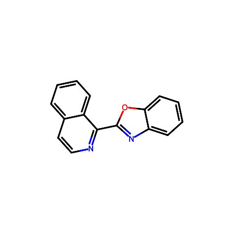 c1ccc2c(-c3nc4ccccc4o3)nccc2c1